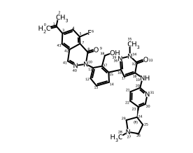 C=C(C)c1cc(F)c2c(=O)n(-c3cccc(-c4cc(Nc5ccc([C@H]6CCN(C)C6)cn5)c(=O)n(C)n4)c3CO)ncc2c1